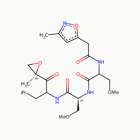 COCC(NC(=O)Cc1cc(C)no1)C(=O)N[C@@H](COC)C(=O)NC(CC(C)C)C(=O)[C@@]1(C)CO1